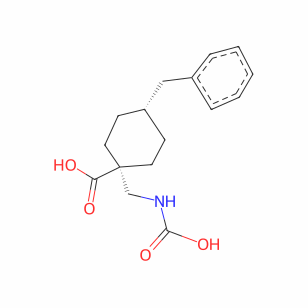 O=C(O)NC[C@]1(C(=O)O)CC[C@H](Cc2ccccc2)CC1